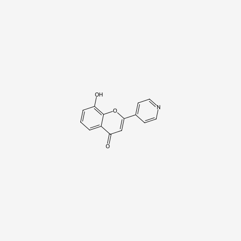 O=c1cc(-c2ccncc2)oc2c(O)cccc12